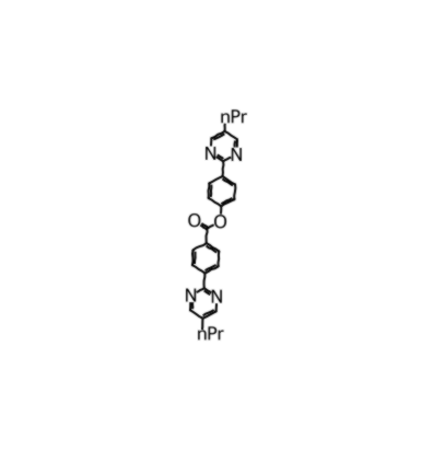 CCCc1cnc(-c2ccc(OC(=O)c3ccc(-c4ncc(CCC)cn4)cc3)cc2)nc1